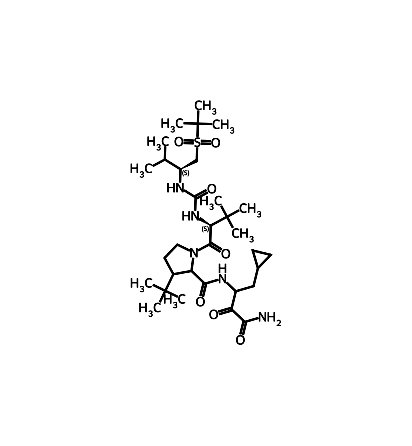 CC(C)[C@@H](CS(=O)(=O)C(C)(C)C)NC(=O)N[C@H](C(=O)N1CCC(C(C)(C)C)C1C(=O)NC(CC1CC1)C(=O)C(N)=O)C(C)(C)C